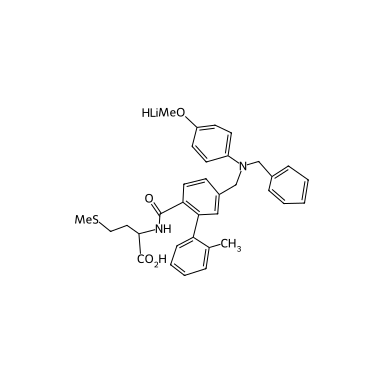 COc1ccc(N(Cc2ccccc2)Cc2ccc(C(=O)NC(CCSC)C(=O)O)c(-c3ccccc3C)c2)cc1.[LiH]